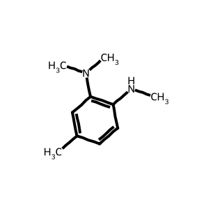 CNc1ccc(C)cc1N(C)C